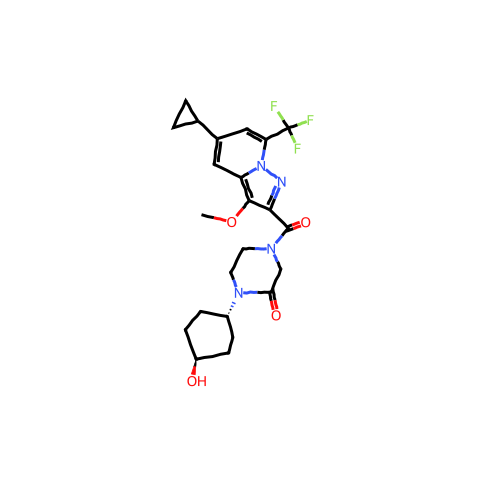 COc1c(C(=O)N2CCN([C@H]3CC[C@H](O)CC3)C(=O)C2)nn2c(C(F)(F)F)cc(C3CC3)cc12